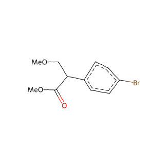 COCC(C(=O)OC)c1ccc(Br)cc1